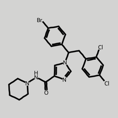 O=C(NN1CCCCC1)c1cn(C(Cc2ccc(Cl)cc2Cl)c2ccc(Br)cc2)cn1